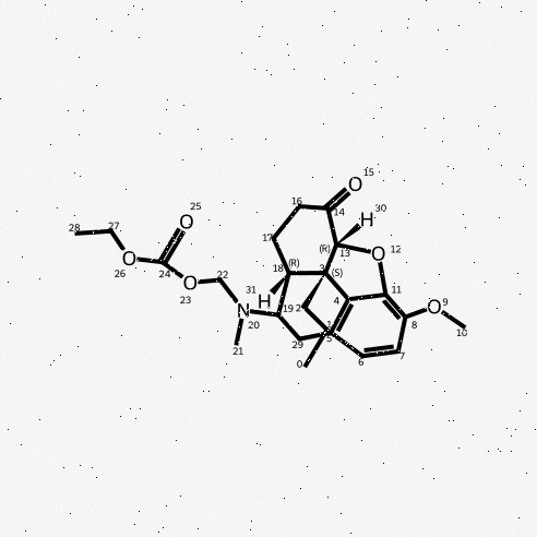 CCC[C@]12c3c4ccc(OC)c3O[C@H]1C(=O)CC[C@H]2C(N(C)COC(=O)OCC)C4